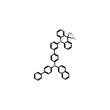 CC1(C)c2ccccc2N(c2cccc(-c3ccc(N(c4ccc(-c5ccccc5)cc4)c4ccc5ccccc5c4)cc3)c2)c2ccccc21